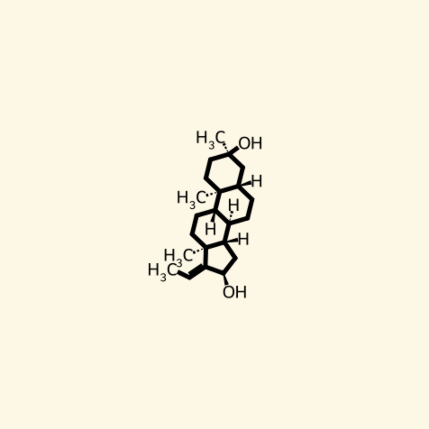 C/C=C1/[C@H](O)C[C@H]2[C@@H]3CC[C@H]4C[C@](C)(O)CC[C@]4(C)[C@H]3CC[C@]12C